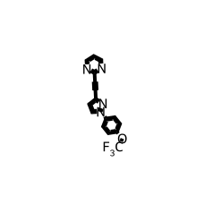 FC(F)(F)Oc1ccc(-n2ccc(C#Cc3ncccn3)n2)cc1